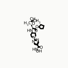 CC(C)(C)OC[C@H](NC1CCN(c2ncc(C(=O)NO)cn2)CC1)C(=O)OC1CCCC1